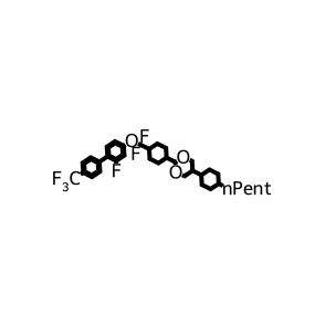 CCCCCC1CCC(C2COC(C3CCC(C(F)(F)Oc4ccc(-c5ccc(C(F)(F)F)cc5)c(F)c4)CC3)OC2)CC1